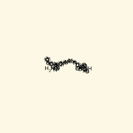 Cc1cc(N2CC(CN3CC(N4CC(N5CCC(n6nc(-c7ccc(Oc8ccccc8)cc7)c7c(N)ncnc76)CC5)C4)C3)C2)ccc1C(=O)N(C=O)C1CCC(=O)NC1=O